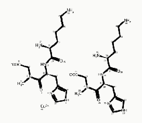 CN(CC(=O)[O-])C(=O)[C@H](Cc1c[nH]cn1)NC(=O)[C@@H](N)CCCCN.CN(CC(=O)[O-])C(=O)[C@H](Cc1c[nH]cn1)NC(=O)[C@@H](N)CCCCN.[Cu+2]